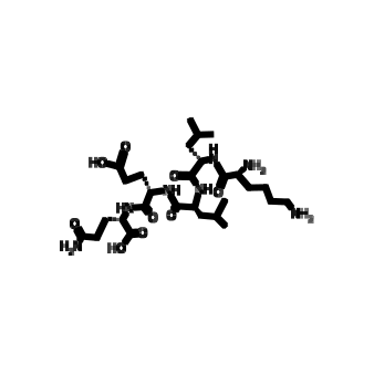 CC(C)C[C@H](NC(=O)[C@H](CC(C)C)NC(=O)[C@@H](N)CCCCN)C(=O)N[C@@H](CCC(=O)O)C(=O)N[C@@H](CCC(N)=O)C(=O)O